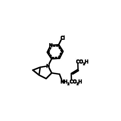 NCC1CC2CC2N1c1ccc(Cl)nc1.O=C(O)C=CC(=O)O